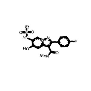 CCS(=O)(=O)Nc1cn2nc(-c3ccc(F)cc3)c(C(=O)NC)c2cc1O